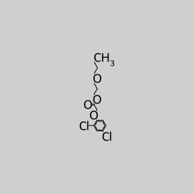 CCCCOCCCOC(=O)COc1ccc(Cl)cc1Cl